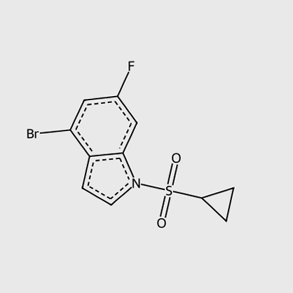 O=S(=O)(C1CC1)n1ccc2c(Br)cc(F)cc21